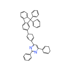 C1=CC(c2cc(C3=CCC(c4ccc5c(c4)C(c4ccccc4)(c4ccccc4)c4ccccc4-5)C=C3)nc(-c3ccccc3)n2)=CCC1